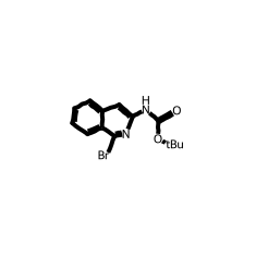 CC(C)(C)OC(=O)Nc1cc2ccccc2c(Br)n1